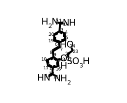 N=C(N)c1ccc(C=Cc2ccc(C(=N)N)cc2O)cc1.O=S(=O)(O)CCO